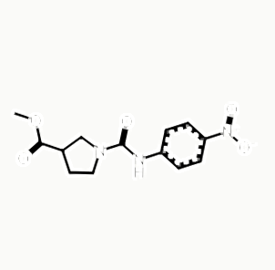 COC(=O)C1CCN(C(=O)Nc2ccc([N+](=O)[O-])cc2)C1